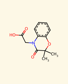 CC1(C)Oc2ccccc2N(CC(=O)O)C1=O